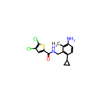 Cc1c(N)ccc(C2CC2)c1CNC(=O)c1cc(Cl)c(Cl)s1